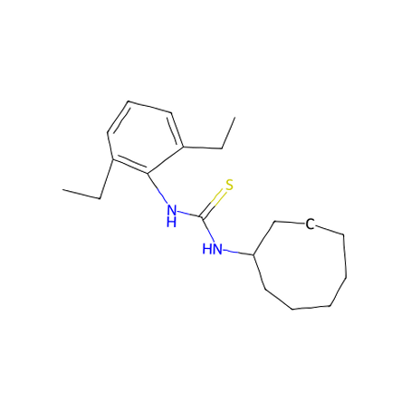 CCc1cccc(CC)c1NC(=S)NC1CCCCCCC1